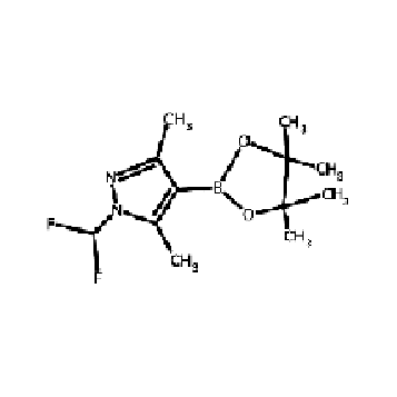 Cc1nn(C(F)F)c(C)c1B1OC(C)(C)C(C)(C)O1